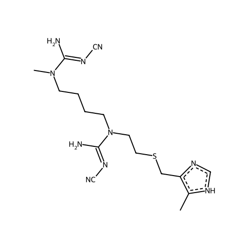 Cc1[nH]cnc1CSCCN(CCCCN(C)C(N)=NC#N)C(N)=NC#N